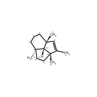 CC1=C[C@@]2(C)CCC[C@]3(C)CC[C@]1(C)[C@H]32